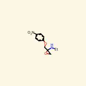 CCNC1(COc2ccc([N+](=O)[O-])cc2)CO1